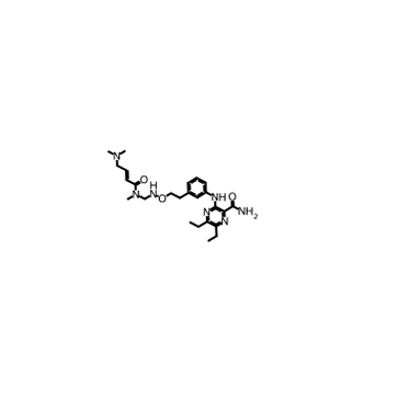 CCc1nc(Nc2cccc(CCONCN(C)C(=O)/C=C/CN(C)C)c2)c(C(N)=O)nc1CC